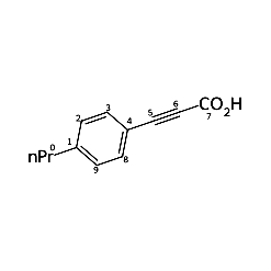 CCCc1ccc(C#CC(=O)O)cc1